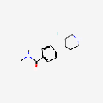 CN(C)C(=O)c1ccc([C@H]2CCNC[C@H]2F)cc1